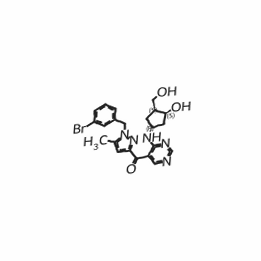 Cc1cc(C(=O)c2cncnc2N[C@@H]2C[C@@H](CO)[C@@H](O)C2)nn1Cc1cccc(Br)c1